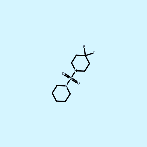 O=S(=O)(N1CCCCC1)N1CCC(F)(F)CC1